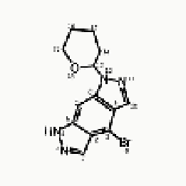 Brc1c2cn[nH]c2cc2c1cnn2C1CCCCO1